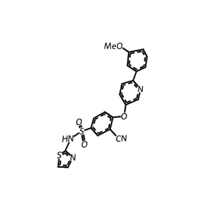 COc1cccc(-c2ccc(Oc3ccc(S(=O)(=O)Nc4nccs4)cc3C#N)cn2)c1